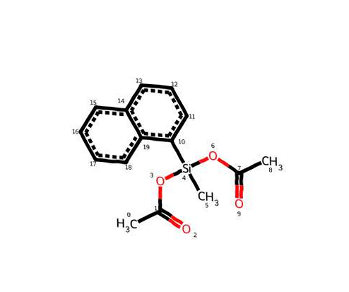 CC(=O)O[Si](C)(OC(C)=O)c1cccc2ccccc12